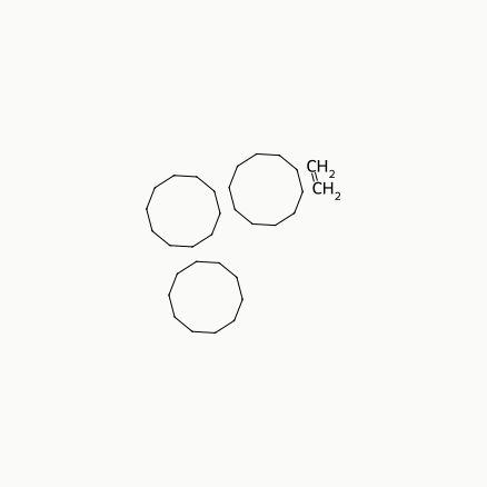 C1CCCCCCCCC1.C1CCCCCCCCC1.C1CCCCCCCCC1.C=C